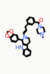 CN1CCN(C(=O)c2cccc(C/C=C/N3CCc4c([nH]c5ccccc45)C3c3ccc4c(c3)OCO4)c2)CC1